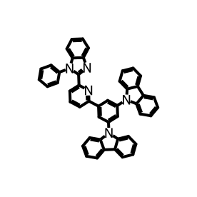 c1ccc(-n2c(-c3cccc(-c4cc(-n5c6ccccc6c6ccccc65)cc(-n5c6ccccc6c6ccccc65)c4)n3)nc3ccccc32)cc1